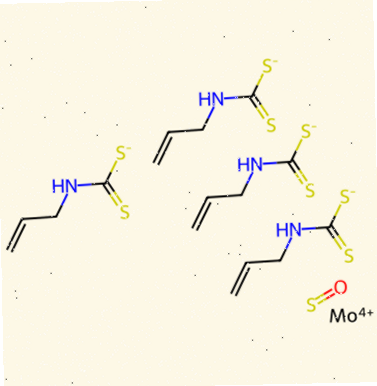 C=CCNC(=S)[S-].C=CCNC(=S)[S-].C=CCNC(=S)[S-].C=CCNC(=S)[S-].O=S.[Mo+4]